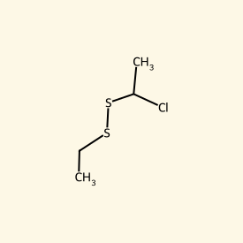 CCSSC(C)Cl